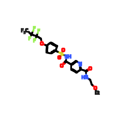 CCOCCNC(=O)c1ccc(C(=O)NS(=O)(=O)c2ccc(OCC(F)(F)C(F)(F)C(F)(F)F)cc2)cn1